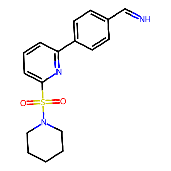 N=Cc1ccc(-c2cccc(S(=O)(=O)N3CCCCC3)n2)cc1